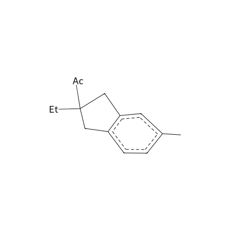 CCC1(C(C)=O)Cc2ccc(C)cc2C1